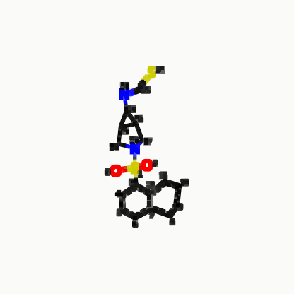 O=S(=O)(c1cccc2ccccc12)N1CC2C(C1)C2N=C=S